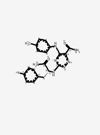 Cc1ccc(Nc2nc(N[C@H](Cc3ccc(F)cc3)C(N)=O)nnc2C(N)=O)cc1